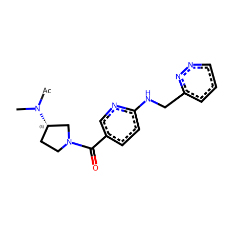 CC(=O)N(C)[C@H]1CCN(C(=O)c2ccc(NCc3cccnn3)nc2)C1